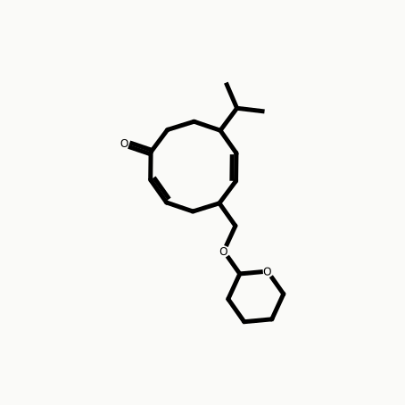 CC(C)C1/C=C\C(COC2CCCCO2)C/C=C\C(=O)CC1